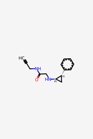 C#CCNC(=O)CN[C@@H]1C[C@H]1c1ccccc1